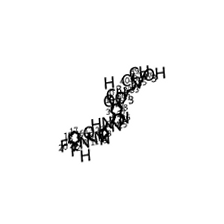 COc1cc2c(Nc3cnn(CC(=O)Nc4cccc(F)c4F)c3)ncnc2cc1OCCCN(CCO)C(C)C